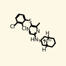 Cc1nc(N[C@H]2C[C@H]3CCC[C@@H](C2)N3C)cnc1Sc1cccc(Cl)c1Cl